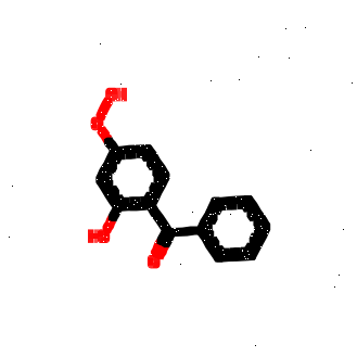 O=C(c1ccccc1)c1ccc(OO)cc1O